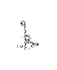 O=C(O)CNC(=O)[C@H](CCC(O)O)NC(=O)CCCC[C@@H]1CCSS1